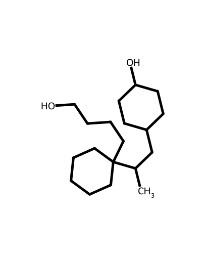 CC(CC1CCC(O)CC1)C1(CCCCO)CCCCC1